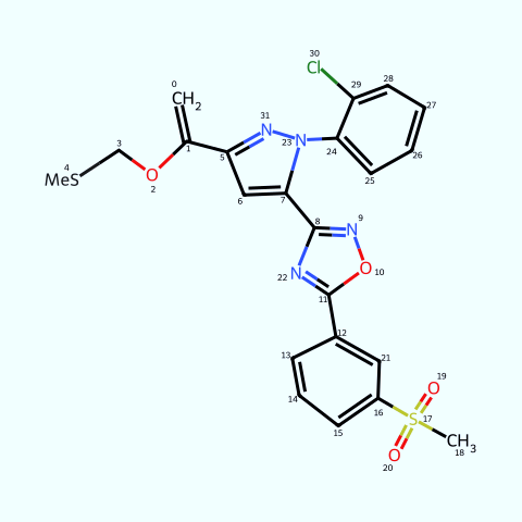 C=C(OCSC)c1cc(-c2noc(-c3cccc(S(C)(=O)=O)c3)n2)n(-c2ccccc2Cl)n1